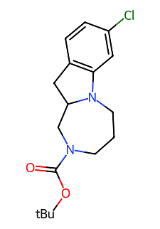 CC(C)(C)OC(=O)N1CCCN2c3cc(Cl)ccc3CC2C1